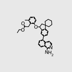 CCOC(=O)Cc1c(C)cccc1OC1CC2(CCCCC2)c2ccc(-c3cccc4c(N)nccc34)cc21